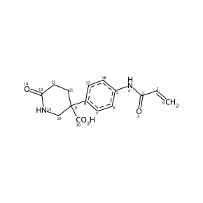 C=CC(=O)Nc1ccc(C2(C(=O)O)CCC(=O)NC2)cc1